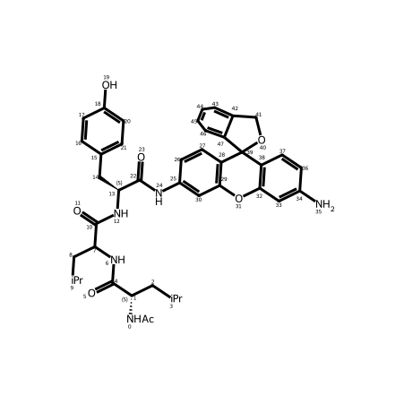 CC(=O)N[C@@H](CC(C)C)C(=O)NC(CC(C)C)C(=O)N[C@@H](Cc1ccc(O)cc1)C(=O)Nc1ccc2c(c1)Oc1cc(N)ccc1C21OCc2ccccc21